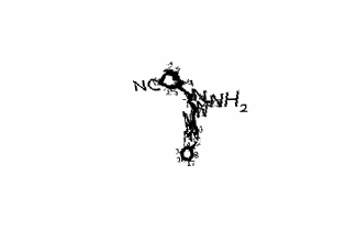 N#Cc1cccc(-c2cc(-c3cn(Cc4ccccc4)nn3)nc(N)n2)c1